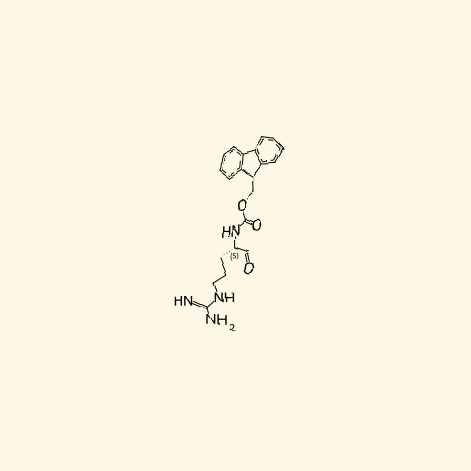 N=C(N)NCCC[C@@H](C=O)NC(=O)OCC1c2ccccc2-c2ccccc21